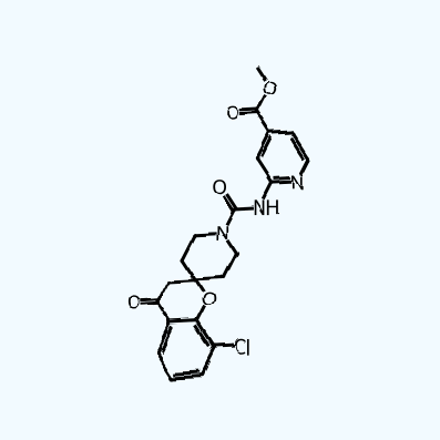 COC(=O)c1ccnc(NC(=O)N2CCC3(CC2)CC(=O)c2cccc(Cl)c2O3)c1